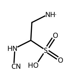 N#CNC(C[NH])S(=O)(=O)O